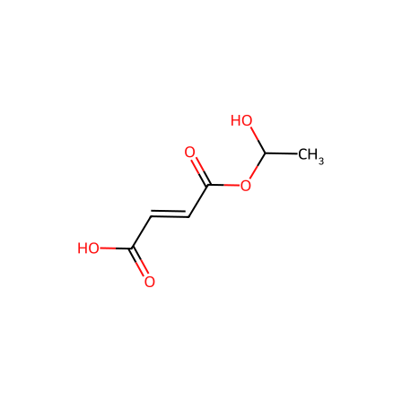 CC(O)OC(=O)C=CC(=O)O